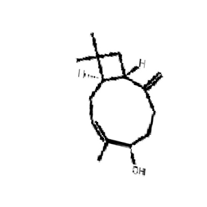 C=C1CC[C@@H](O)C(C)=CC[C@@H]2[C@@H]1CC2(C)C